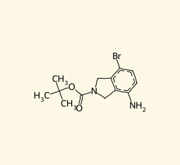 CC(C)(C)OC(=O)N1Cc2c(N)ccc(Br)c2C1